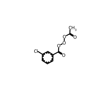 CC(=O)OOOC(=O)c1cccc(Cl)c1